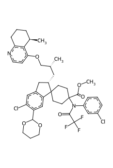 COC(=O)C1(N(C(=O)C(F)(F)F)c2cccc(Cl)c2)CCC2(CC1)c1cc(C3OCCCO3)c(Cl)cc1C[C@@H]2C[C@@H](C)COc1ccnc2c1[C@H](C)CCC2